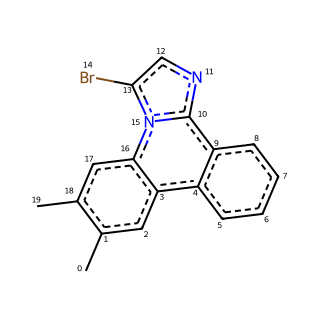 Cc1cc2c3ccccc3c3ncc(Br)n3c2cc1C